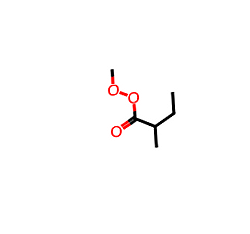 CCC(C)C(=O)OOC